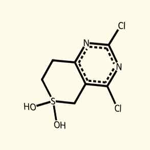 OS1(O)CCc2nc(Cl)nc(Cl)c2C1